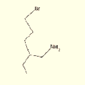 CCC(CN)CCCBr